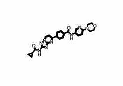 O=C(Nc1ccc(N2CCOCC2)nc1)c1ccc(-c2ccn3nc(NC(=O)C4CC4)nc3n2)cc1